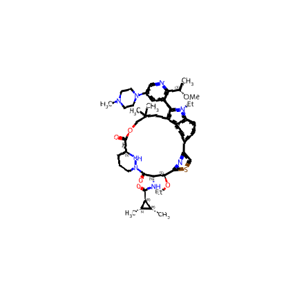 CCO[C@@H]1c2nc(cs2)-c2ccc3c(c2)c(c(-c2cc(N4CCN(C)CC4)cnc2[C@H](C)OC)n3CC)CC(C)(C)COC(=O)[C@@H]2CCCN(N2)C(=O)[C@H]1NC(=O)[C@H]1[C@H](C)[C@@H]1C